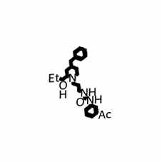 CCC(O)C1CC(Cc2ccccc2)CCN1CCCNC(=O)Nc1cccc(C(C)=O)c1